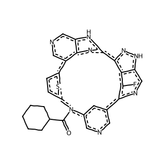 O=C(C1CCCCC1)n1c2cncc(c2)c2ncc3[nH]nc(c4nc5c(cncc5c5ccc1s5)[nH]4)c3c2F